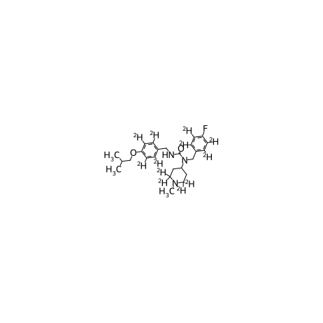 [2H]c1c([2H])c(CN(C(=O)NCc2c([2H])c([2H])c(OCC(C)C)c([2H])c2[2H])C2CC([2H])([2H])N(C)C([2H])([2H])C2)c([2H])c([2H])c1F